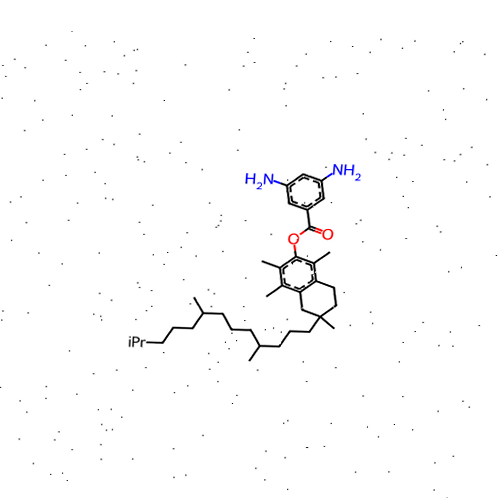 Cc1c(C)c(OC(=O)c2cc(N)cc(N)c2)c(C)c2c1CC(C)(CCCC(C)CCCC(C)CCCC(C)C)CC2